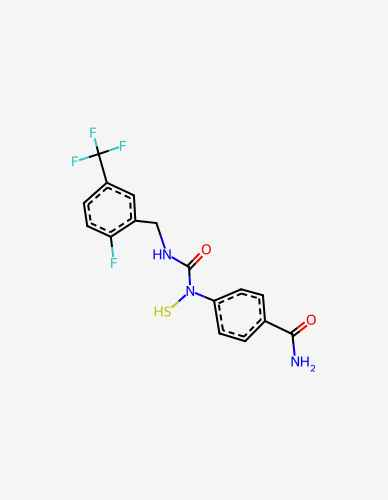 NC(=O)c1ccc(N(S)C(=O)NCc2cc(C(F)(F)F)ccc2F)cc1